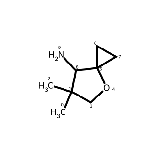 CC1(C)COC2(CC2)C1N